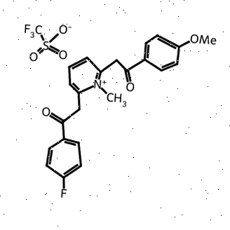 COc1ccc(C(=O)Cc2cccc(CC(=O)c3ccc(F)cc3)[n+]2C)cc1.O=S(=O)([O-])C(F)(F)F